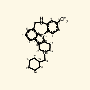 FC(F)(F)c1ccc2c(c1)NCc1cccc3c4c(n-2c13)CCN(CC1CCCCC1)C4